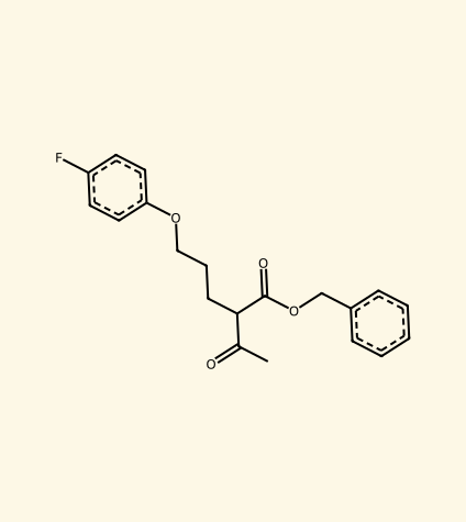 CC(=O)C(CCCOc1ccc(F)cc1)C(=O)OCc1ccccc1